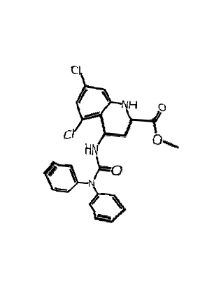 COC(=O)C1CC(NC(=O)N(c2ccccc2)c2ccccc2)c2c(Cl)cc(Cl)cc2N1